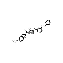 O=C(NSc1cccc(OCc2ccccc2)c1)NC(=O)c1cc2cc([N+](=O)[O-])ccc2o1